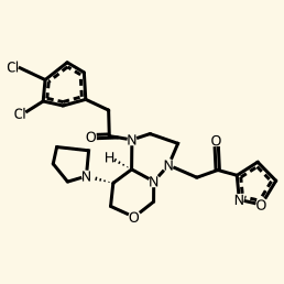 O=C(CN1CCN(C(=O)Cc2ccc(Cl)c(Cl)c2)[C@@H]2[C@@H](N3CCCC3)COCN21)c1ccon1